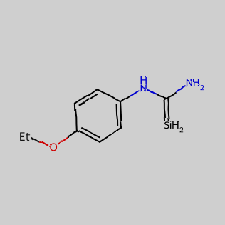 CCOc1ccc(NC(N)=[SiH2])cc1